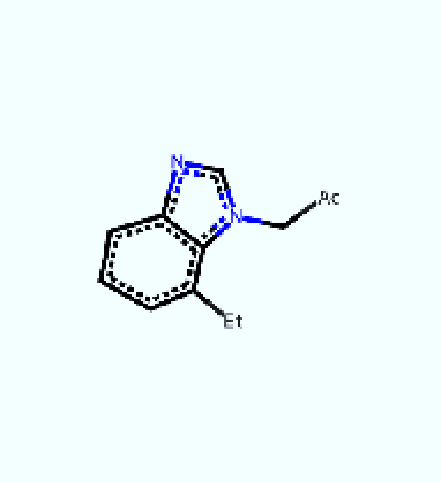 CCc1cccc2ncn(CC(C)=O)c12